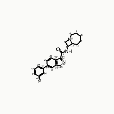 O=C(N[C@H]1CN2CCCCCC12)c1nsc2cc(-c3cccc(F)c3)ccc12